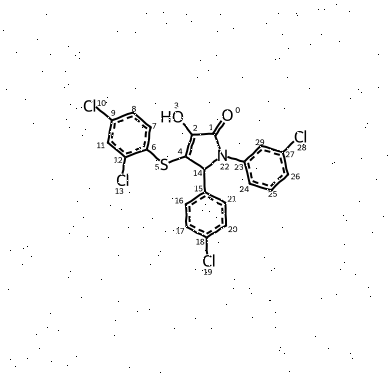 O=C1C(O)=C(Sc2ccc(Cl)cc2Cl)C(c2ccc(Cl)cc2)N1c1cccc(Cl)c1